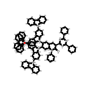 O=c1c(-c2nc(-c3ccccc3)nc(-c3ccccc3)n2)cc2cc(-n3c4ccc(-n5c6ccccc6c6ccccc65)cc4c4cc(-n5c6ccccc6c6ccccc65)ccc43)c(-n3c4ccc(-n5c6ccccc6c6ccccc65)cc4c4cc(-n5c6ccccc6c6ccccc65)ccc43)cc2n1-c1ccccc1